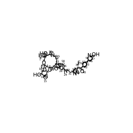 CC[C@H]1OC(=O)[C@H](C)[C@@H](O[C@H]2C[C@@](C)(OC)[C@@H](O)[C@H](C)O2)[C@H](C)[C@@H](O[C@H]2C[C@@H](N(C)CCc3cn([C@H](CF)[C@H](OC)c4ccc(-c5ccc(O)nc5)cc4)nn3)C[C@@H](C)O2)[C@](C)(O)C[C@@H](C)CN(C)[C@H](C)[C@@H](O)[C@]1(C)O